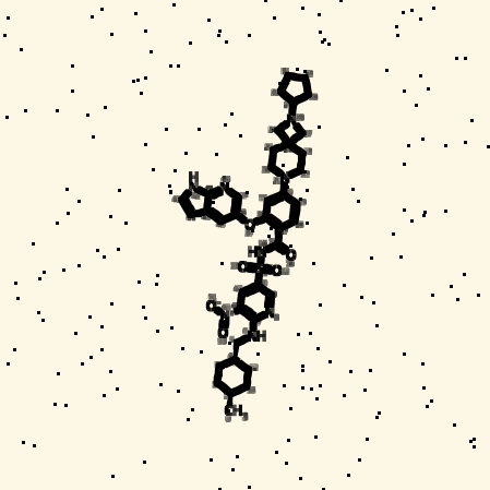 C[C@H]1CC[C@@H](CNc2ncc(S(=O)(=O)NC(=O)c3ccc(N4CCC5(CC4)CN(C4CCCC4)C5)cc3Oc3cnc4[nH]ccc4c3)cc2[N+](=O)[O-])CC1